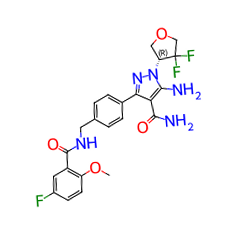 COc1ccc(F)cc1C(=O)NCc1ccc(-c2nn([C@@H]3COCC3(F)F)c(N)c2C(N)=O)cc1